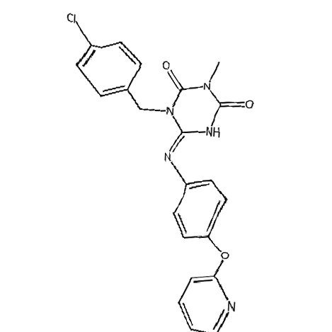 Cn1c(=O)[nH]/c(=N\c2ccc(Oc3ccccn3)cc2)n(Cc2ccc(Cl)cc2)c1=O